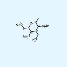 COCC1OC(C)C(OC)C(CO)C1OC